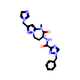 CN1C(=O)[C@@H](NC(=O)c2ncn(Cc3ccccc3)n2)CCn2nc(Cn3ccnc3)cc21